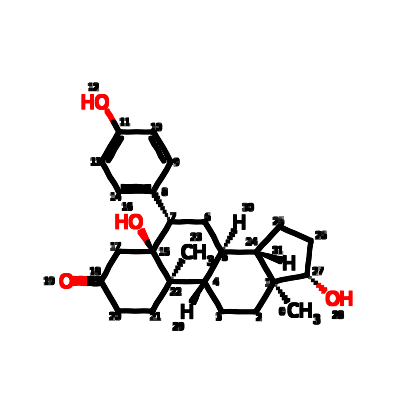 C[C@]12CC[C@H]3[C@@H](C[C@@H](c4ccc(O)cc4)[C@@]4(O)CC(=O)CC[C@]34C)[C@@H]1CC[C@@H]2O